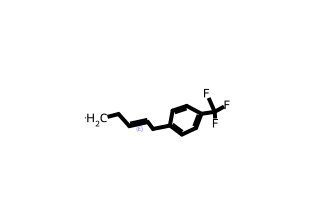 [CH2]C/C=C/Cc1ccc(C(F)(F)F)cc1